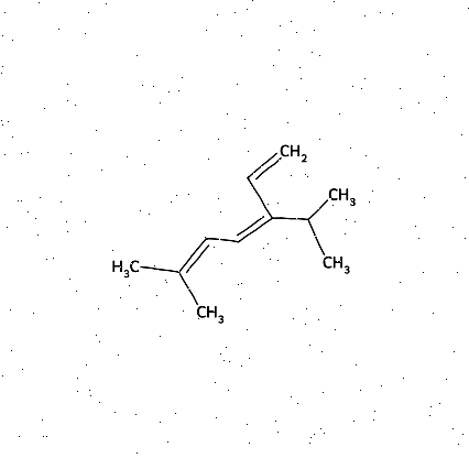 C=C/C(=C\C=C(C)C)C(C)C